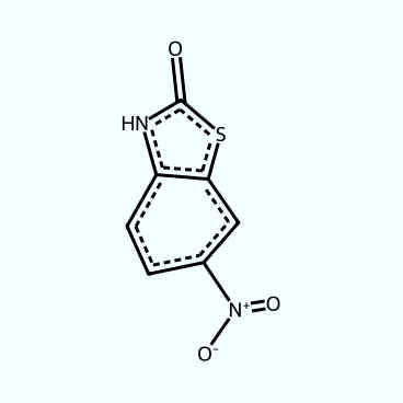 O=c1[nH]c2ccc([N+](=O)[O-])cc2s1